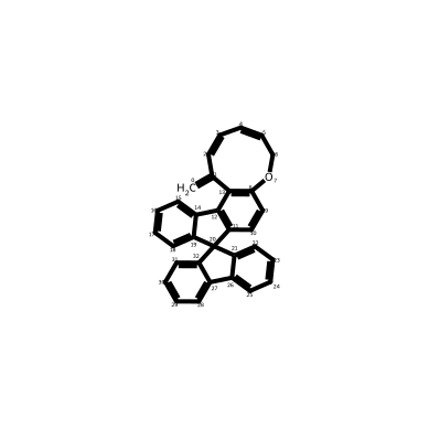 C=C1/C=C\C=C/COc2ccc3c(c21)-c1ccccc1C31c2ccccc2-c2ccccc21